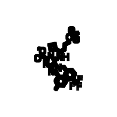 COC(=O)c1nc(NC(CCCOS(C)(=O)=O)C2CCC2)c2c(n1)nc(-c1cccc(C)c1)n2Cc1ccc(C(F)(F)F)cc1